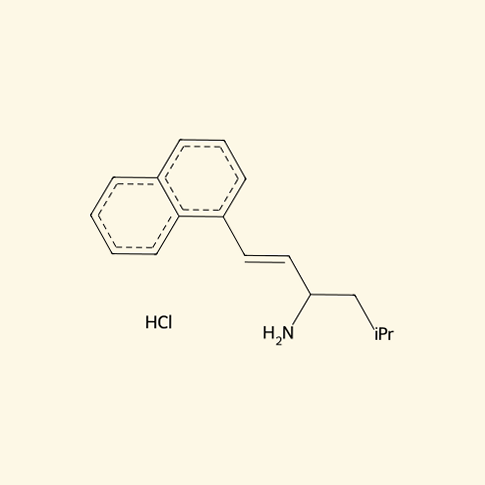 CC(C)CC(N)C=Cc1cccc2ccccc12.Cl